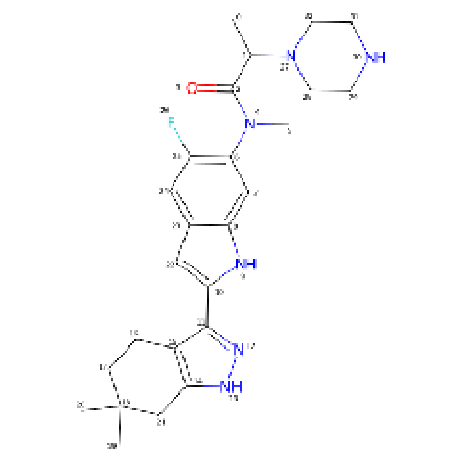 CC(C(=O)N(C)c1cc2[nH]c(-c3n[nH]c4c3CCC(C)(C)C4)cc2cc1F)N1CCNCC1